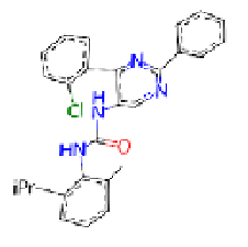 Cc1cccc(C(C)C)c1NC(=O)Nc1cnc(-c2ccccc2)nc1-c1ccccc1Cl